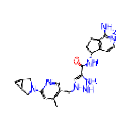 Cc1cc(N2CC3CC3C2)ncc1CN1C=C(C(=O)N[C@@H]2CCc3c2ccnc3N)NN1